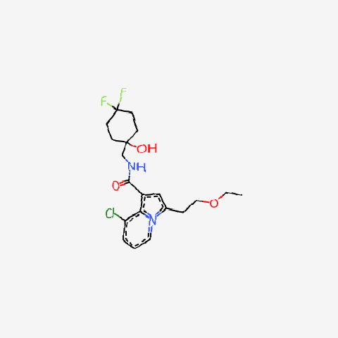 CCOCCc1cc(C(=O)NCC2(O)CCC(F)(F)CC2)c2c(Cl)cccn12